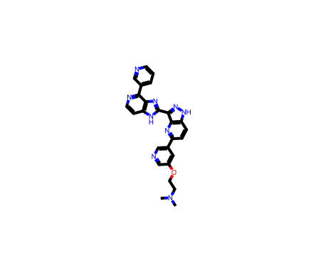 CN(C)CCOc1cncc(-c2ccc3[nH]nc(-c4nc5c(-c6cccnc6)nccc5[nH]4)c3n2)c1